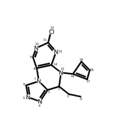 CCC1c2nncn2-c2cnc(Cl)nc2N1C1=CC=C1